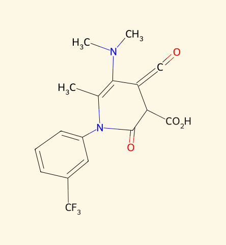 CC1=C(N(C)C)C(=C=O)C(C(=O)O)C(=O)N1c1cccc(C(F)(F)F)c1